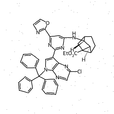 CCOC(=O)[C@@H]1C2CCC(CC2)[C@H]1Nc1cc(-c2ncco2)nc(-c2cn(C(c3ccccc3)(c3ccccc3)c3ccccc3)c3ncc(Cl)nc23)n1